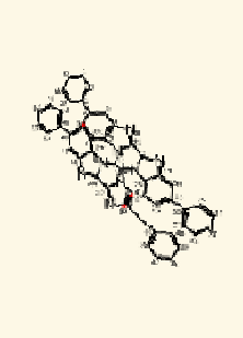 c1ccc(-c2ccc3c(c2)nc2n3[Si]3(n4c-2nc2cc(-c5ccccc5)ccc24)n2c(nc4cc(-c5ccccc5)ccc42)-c2nc4cc(-c5ccccc5)ccc4n23)cc1